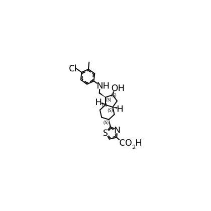 Cc1cc(NC[C@@H]2[C@H]3CC[C@H](c4nc(C(=O)O)cs4)C[C@H]3C[C@@H]2O)ccc1Cl